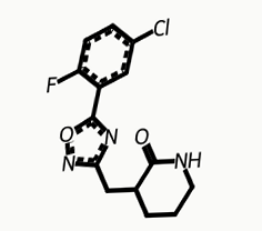 O=C1NCCCC1Cc1noc(-c2cc(Cl)ccc2F)n1